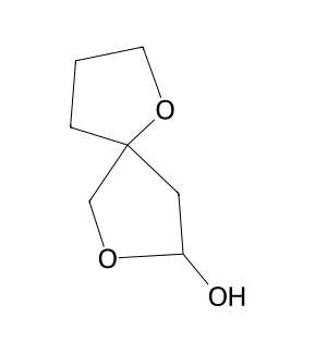 OC1CC2(CCCO2)CO1